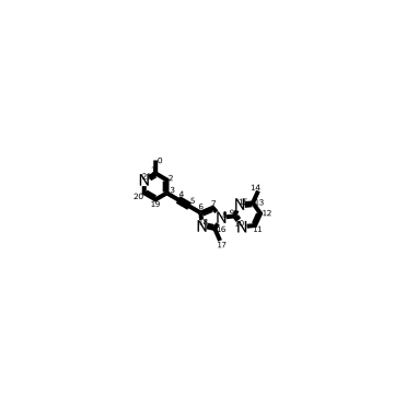 Cc1cc(C#Cc2cn(-c3nccc(C)n3)c(C)n2)ccn1